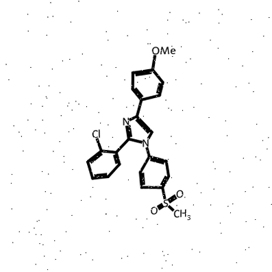 COc1ccc(-c2cn(-c3ccc(S(C)(=O)=O)cc3)c(-c3ccccc3Cl)n2)cc1